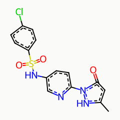 Cc1cc(=O)n(-c2ccc(NS(=O)(=O)c3ccc(Cl)cc3)cn2)[nH]1